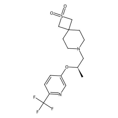 C[C@H](CN1CCC2(CC1)CS(=O)(=O)C2)Oc1ccc(C(F)(F)F)nc1